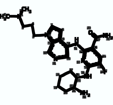 CN(C)CCCn1ccc2c(Nc3nc(N[C@@H]4CCCC[C@@H]4N)c(F)cc3C(N)=O)cncc21